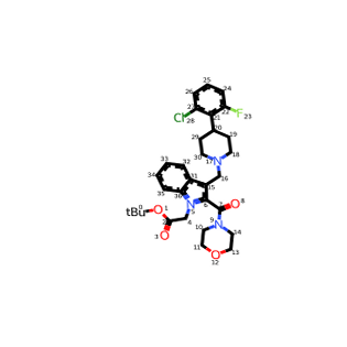 CC(C)(C)OC(=O)Cn1c(C(=O)N2CCOCC2)c(CN2CCC(c3c(F)cccc3Cl)CC2)c2ccccc21